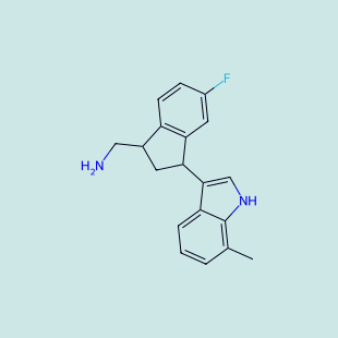 Cc1cccc2c(C3CC(CN)c4ccc(F)cc43)c[nH]c12